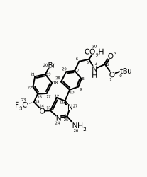 CC(C)(C)OC(=O)NC(Cc1ccc(-c2cc(O[C@@H](c3ccc(Br)cc3)C(F)(F)F)nc(N)n2)cc1)C(=O)O